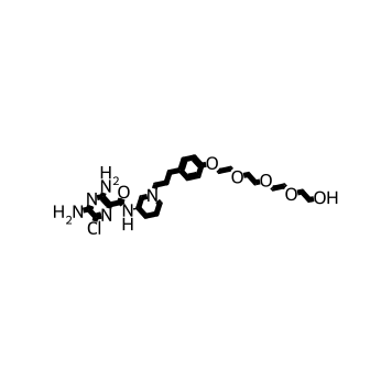 Nc1nc(N)c(C(=O)N[C@H]2CCCN(CCCc3ccc(OCCOCCOCCOCCO)cc3)C2)nc1Cl